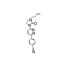 C=CCCN1CCN(c2ccc(-c3ccc(C#N)cc3)nn2)C1=O